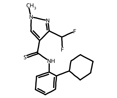 Cn1cc(C(=S)Nc2ccccc2C2CCCCC2)c(C(F)F)n1